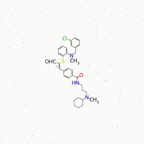 CN(Cc1cccc(Cl)c1)c1ccccc1S/C(C=O)=C\c1ccc(C(=O)NCCCN(C)C2CCCCC2)cc1